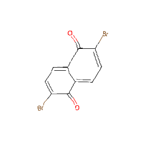 O=C1C(Br)=CC=C2C(=O)C(Br)=CC=C12